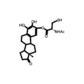 CC(=O)N[C@@H](CS)C(=O)Oc1cc2c(c(O)c1O)CCC1C2CC[C@]2(C)C(=O)CCC12